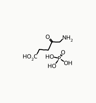 NCC(=O)CCC(=O)O.O=P(O)(O)O